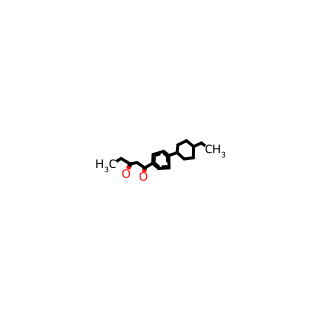 CCC(=O)CC(=O)c1ccc(C2CCC(CC)CC2)cc1